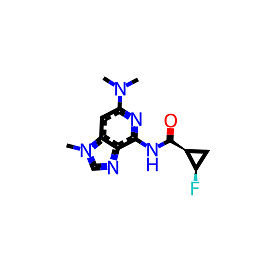 CN(C)c1cc2c(ncn2C)c(NC(=O)[C@H]2C[C@H]2F)n1